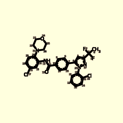 CC(F)(F)c1cc(-c2ccc(C(=O)Nc3cc(Cl)ccc3N3CCOCC3)cc2)n(-c2ccccc2Cl)n1